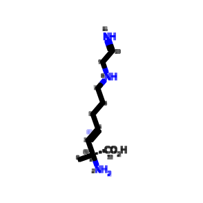 C[C@](N)(/C=C/CCCNCC=N)C(=O)O